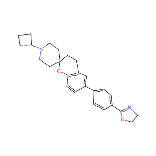 c1cc(-c2ccc3c(c2)CCC2(CCN(C4CCC4)CC2)O3)ccc1C1=NCCO1